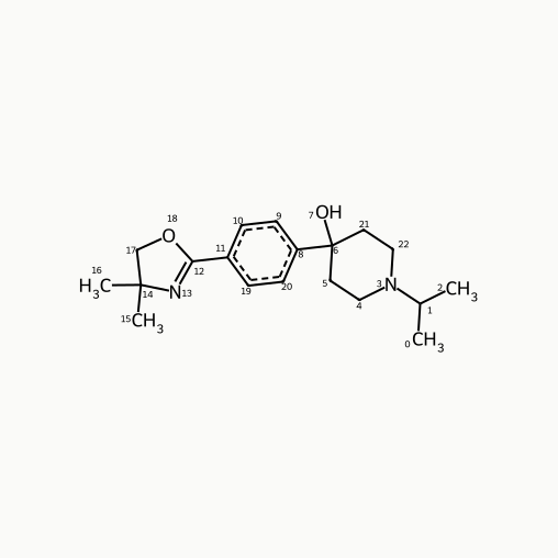 CC(C)N1CCC(O)(c2ccc(C3=NC(C)(C)CO3)cc2)CC1